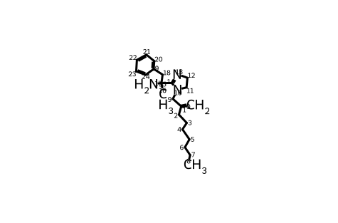 C=C(CCCCCCC)CN1CCN=C1C(C)(N)Cc1ccccc1